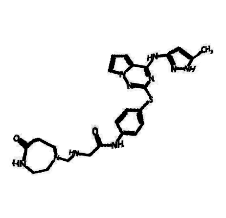 Cc1cc(Nc2nc(Sc3ccc(NC(=O)CNCN4CCNC(=O)CC4)cc3)nn3cccc23)n[nH]1